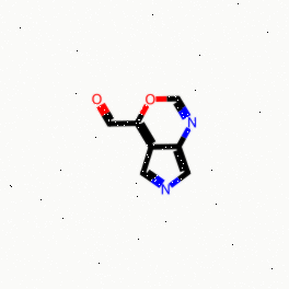 O=Cc1ocnc2cncc1-2